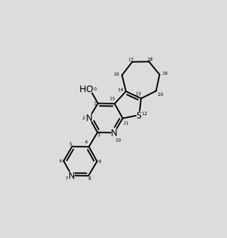 Oc1nc(-c2ccncc2)nc2sc3c(c12)CCCCC3